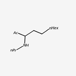 CCCCCCCCC(NCCC)C(C)=O